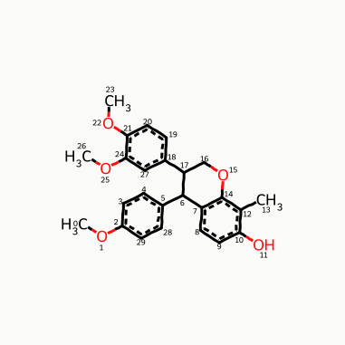 COc1ccc(C2c3ccc(O)c(C)c3OCC2c2ccc(OC)c(OC)c2)cc1